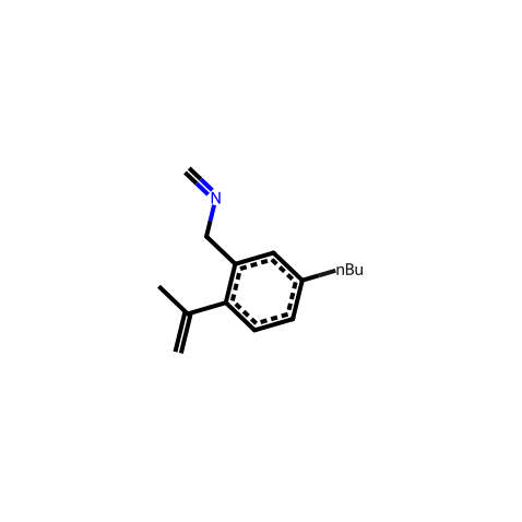 C=NCc1cc(CCCC)ccc1C(=C)C